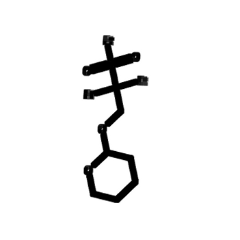 CCC(CC)(COC1CCCCO1)S(=O)(=O)CC